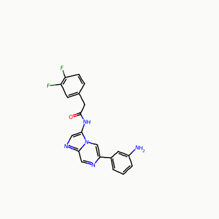 Nc1cccc(-c2cn3c(NC(=O)Cc4ccc(F)c(F)c4)cnc3cn2)c1